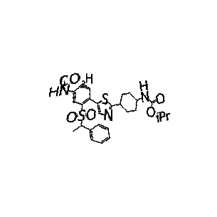 CC(C)OC(=O)NC1CCC(c2ncc(-c3ccc(NC(=O)O)cc3S(=O)(=O)C(C)c3ccccc3)s2)CC1